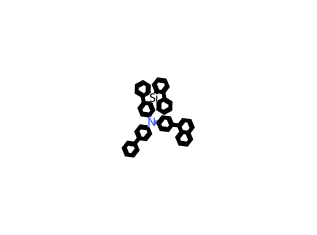 c1ccc(-c2ccc(N(c3ccc(-c4cccc5ccccc45)cc3)c3ccc4c(c3)[Si]3(c5ccccc5-c5ccccc53)c3ccccc3-4)cc2)cc1